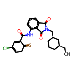 N#CC[C@H]1CCC[C@@H](CN2C(=O)c3cccc(NC(=O)C4=CC(Cl)=CCC4=S)c3C2=O)C1